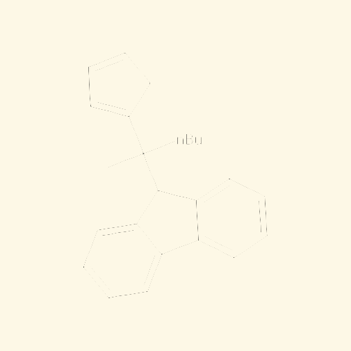 CCCCC(C)(C1=CC=CC1)C1c2ccccc2-c2ccccc21